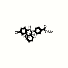 COC(=O)c1ccc([C@@H]2Nc3ccc(Cl)cc3[C@@H]3C=CCC[C@@H]32)cc1